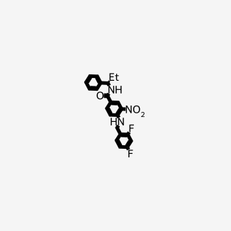 CC[C@@H](NC(=O)c1ccc(NCc2ccc(F)cc2F)c([N+](=O)[O-])c1)c1ccccc1